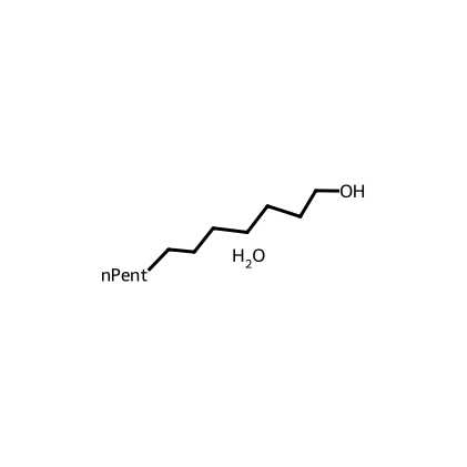 CCCCCCCCCCCCO.O